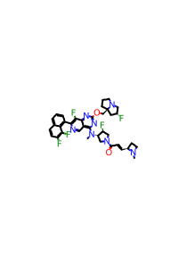 CN1CC[C@@H]1/C=C/C(=O)N1C[C@H](F)[C@@H](N(C)c2nc(OC[C@@]34CCCN3C[C@H](F)C4)nc3c(F)c(-c4cccc5ccc(F)c(F)c45)ncc23)C1